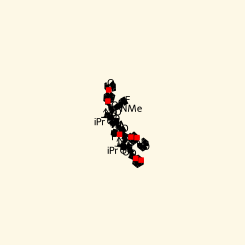 CN[C@@H](CC(C)(C)F)C(=O)O[C@H](Cc1ccc(N2CCOCC2)cc1)C(=O)N(C)[C@@H](CC(C)C)C(=O)O[C@H](C)C(=O)N(C)[C@@H](CC(C)(C)F)C(=O)O[C@H](Cc1ccc(N2CCOCC2)cc1)C(=O)N(C)[C@@H](CC(C)C)C(=O)O[C@H](C)C(=O)OCc1ccccc1